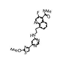 CNC(=O)c1c(F)cnc2c(CCNc3cc(-c4csc(OC)n4)ncn3)cccc12